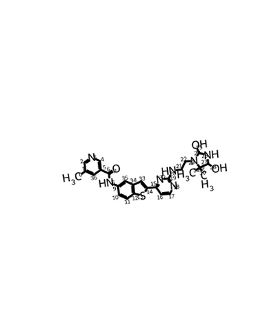 Cc1cncc(C(=O)Nc2ccc3sc(-c4ccnc(NCCN5C(O)NC(O)C5(C)C)n4)cc3c2)c1